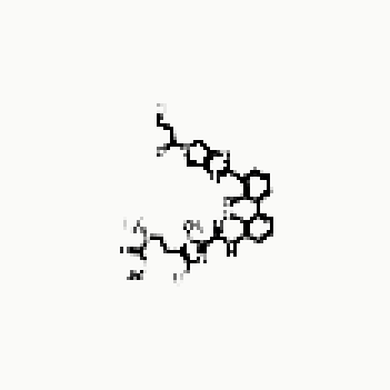 Cc1nc(C(=O)Nc2cccc(-c3cccc(-c4nc5c(o4)CN(C(=O)CCCl)C5)c3Cl)c2Cl)n(C)c1CCN(C)C(=O)OC(C)(C)C